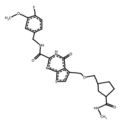 CNC(=O)C1CCC(COCc2csc3nc(C(=O)NCc4ccc(F)c(OC)c4)[nH]c(=O)c23)C1